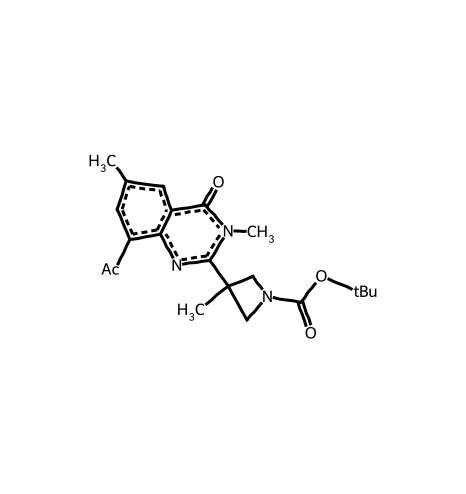 CC(=O)c1cc(C)cc2c(=O)n(C)c(C3(C)CN(C(=O)OC(C)(C)C)C3)nc12